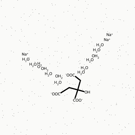 O.O.O.O.O.O.O.O.O.O.O.O.O.O=C([O-])CC(O)(CC(=O)[O-])C(=O)[O-].[Na+].[Na+].[Na+]